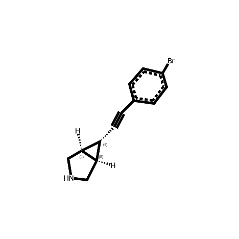 Brc1ccc(C#C[C@@H]2[C@H]3CNC[C@@H]23)cc1